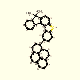 CC1(C)c2ccccc2-c2c1ccc1sc3ccc(-c4ccc5ccc6cccc7ccc4c5c67)cc3c21